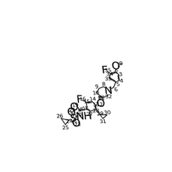 COc1ccc(CN2CCC[C@@H](Oc3cc(F)c(C(=O)NS(=O)(=O)C4CC4)cc3C3CC3)C2)cc1F